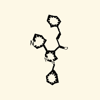 O=C(C=Cc1ccccc1)c1cn(-c2ccccc2)nc1-c1cccnc1